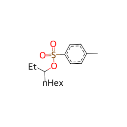 CCCCCCC(CC)OS(=O)(=O)c1ccc(C)cc1